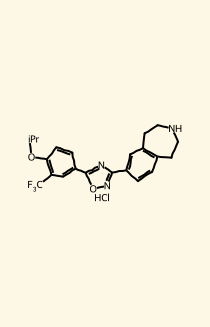 CC(C)Oc1ccc(-c2nc(-c3ccc4c(c3)CCNCC4)no2)cc1C(F)(F)F.Cl